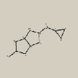 CC1CC2CC(OC3CC3)CC2C1